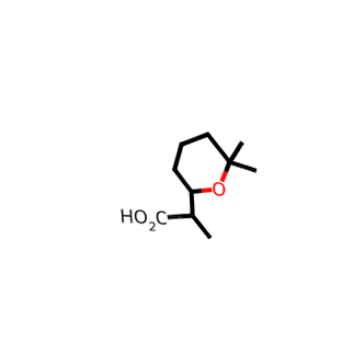 CC(C(=O)O)C1CCCC(C)(C)O1